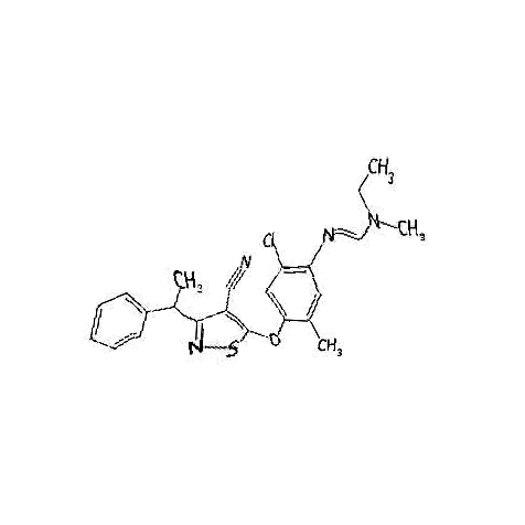 CCN(C)C=Nc1cc(C)c(Oc2snc(C(C)c3ccccc3)c2C#N)cc1Cl